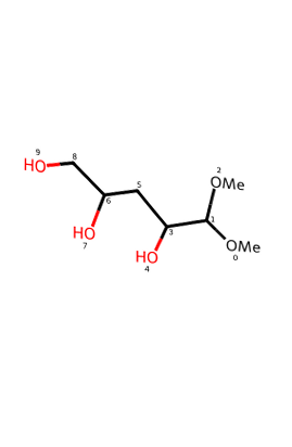 COC(OC)C(O)CC(O)CO